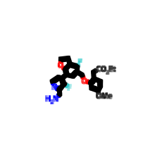 CCOC(=O)Cc1ccc(OC)cc1OCc1cc(-c2ccnc(CN)c2F)c2occc2c1F